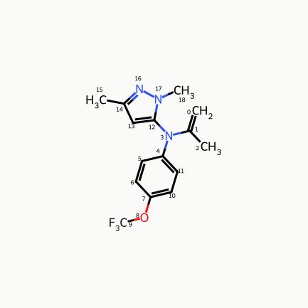 C=C(C)N(c1ccc(OC(F)(F)F)cc1)c1cc(C)nn1C